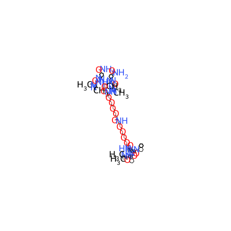 CCn1nc(C)cc1C(=O)Nc1nc2cc(C(N)=O)ccc2n1CCC(CCn1c(NC(=O)c2cc(C)nn2CC)nc2cc(C(N)=O)ccc21)OCC(=O)NCCOCCOCCOCCOCCC(=O)NCCOCCOCCOCCOCC(=O)N[C@H]1C[C@@H](C(=O)NC2CCCc3ccccc32)N(C(=O)[C@@H](NC(=O)[C@H](C)NC)C2CCCCC2)C1